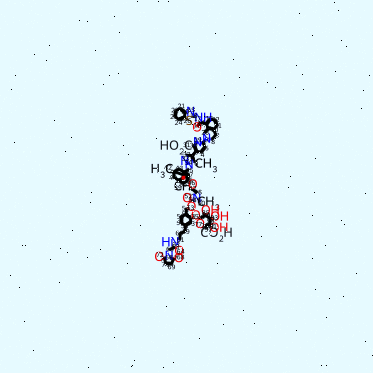 Cc1c(-c2ccc(N3CCc4cccc(C(=O)Nc5nc6ccccc6s5)c4C3)nc2C(=O)O)cnn1CC12CC3(C)CC(C)(C1)CC(OCCN(C)C(=O)OCc1ccc(CCCNC(=O)CN4C(=O)C=CC4=O)cc1OC1O[C@H](C(=O)O)[C@@H](O)[C@H](O)[C@H]1O)(C3)C2